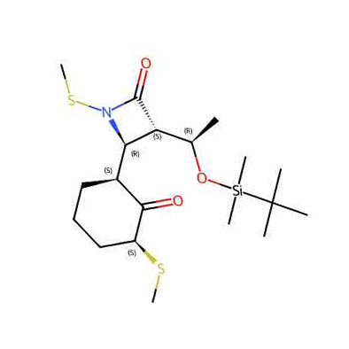 CS[C@H]1CCC[C@@H]([C@@H]2[C@@H]([C@@H](C)O[Si](C)(C)C(C)(C)C)C(=O)N2SC)C1=O